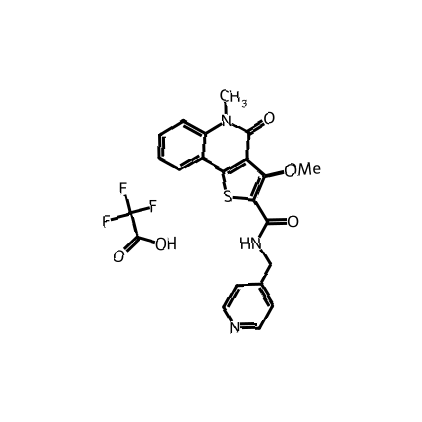 COc1c(C(=O)NCc2ccncc2)sc2c1c(=O)n(C)c1ccccc21.O=C(O)C(F)(F)F